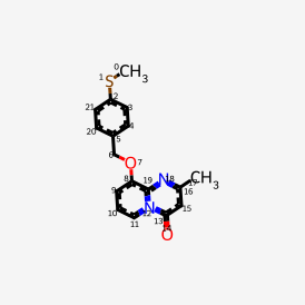 CSc1ccc(COc2cccn3c(=O)cc(C)nc23)cc1